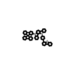 c1ccc2c(c1)-c1ccccc1C21c2ccccc2-c2ccc(-n3c4ccccc4c4c3ccc3c5ccccc5n(-c5ccc(-c6cccc7c6sc6ccccc67)cc5)c34)cc21